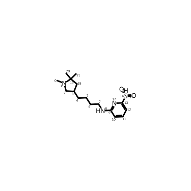 CN1CC(CCCCNc2cccc([SH](=O)=O)n2)CC1(C)C